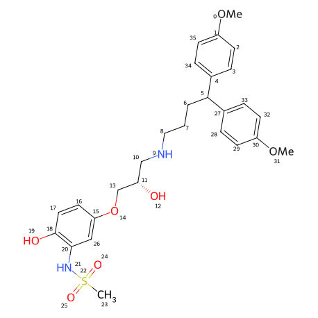 COc1ccc(C(CCCNC[C@H](O)COc2ccc(O)c(NS(C)(=O)=O)c2)c2ccc(OC)cc2)cc1